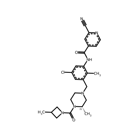 Cc1c(CN2CCN(C(=O)N3CC(C)C3)[C@@H](C)C2)cc(Cl)cc1NC(=O)c1ccnc(C#N)c1